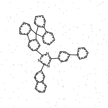 c1ccc(-c2ccc(-c3nc(-c4ccc5c(c4)C4(c6ccccc6-c6ccccc64)c4ccccc4-5)nc(-c4ccc5ccccc5c4)n3)cc2)cc1